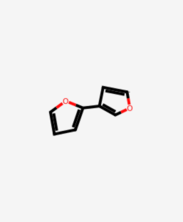 [c]1cc(-c2ccco2)co1